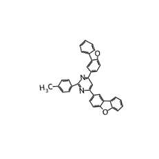 Cc1ccc(-c2nc(-c3ccc4oc5ccccc5c4c3)cc(-c3ccc4oc5ccccc5c4c3)n2)cc1